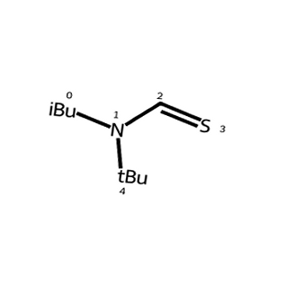 CCC(C)N(C=S)C(C)(C)C